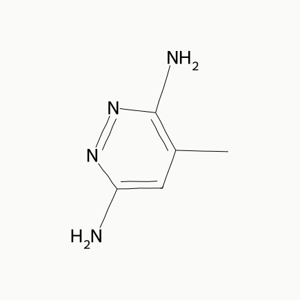 Cc1cc(N)nnc1N